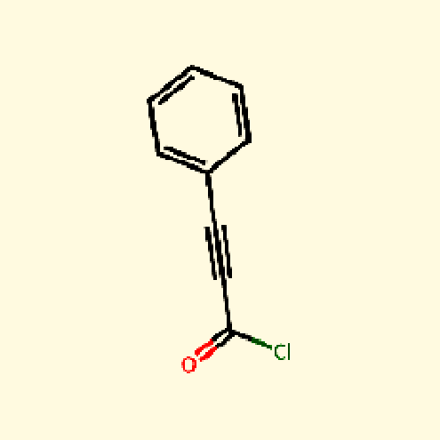 O=C(Cl)C#Cc1ccccc1